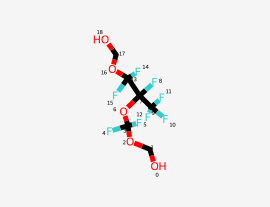 OCOC(F)(F)OC(F)(C(F)(F)F)C(F)(F)OCO